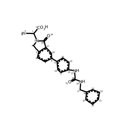 CC(C)C(C(=O)O)N1Cc2ccc(-c3ccc(NC(=O)NCc4ccccc4)cc3)cc2C1=O